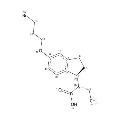 CC[C@H](C(=O)O)[C@@H]1CCc2cc(OCCCBr)ccc21